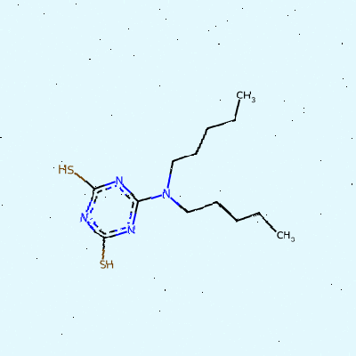 CCCCCN(CCCCC)c1nc(S)nc(S)n1